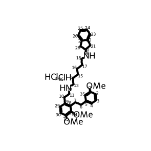 COc1cccc(CCc2c(CCNCCCCCCNC3Cc4ccccc4C3)ccc(OC)c2OC)c1.Cl.Cl